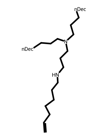 C=CCCCCCNCCCN(CCCCCCCCCCCCC)CCCCCCCCCCCCC